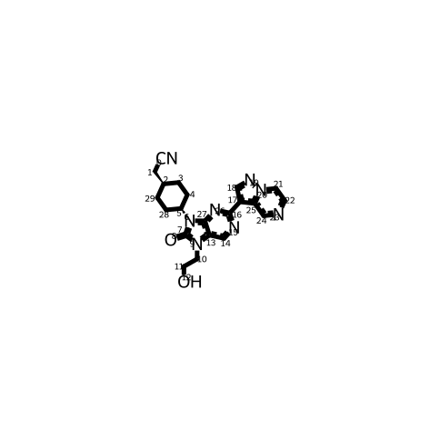 N#CC[C@H]1CC[C@H](n2c(=O)n(CCO)c3cnc(-c4cnn5ccncc45)nc32)CC1